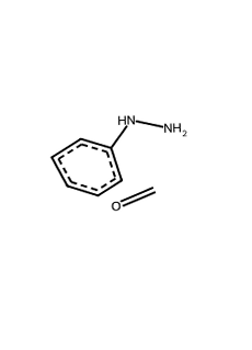 C=O.NNc1ccccc1